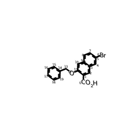 O=C(O)c1cc2cc(Br)ccc2cc1OCc1ccccc1